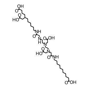 O=C(O)CCCCCCCCCCNC(=O)CN(CCN(CCNCC(=O)NCCCCCCC(CCCC(=O)O)CC(=O)O)CC(=O)O)CC(=O)O